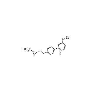 CCOc1ccc(F)c(-c2ccc(CC[C@@H]3C[C@H]3C(=O)O)cc2)c1